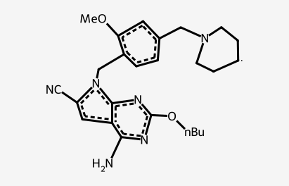 CCCCOc1nc(N)c2cc(C#N)n(Cc3ccc(CN4CC[CH]CC4)cc3OC)c2n1